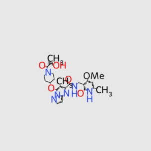 COc1cc(C)[nH]c(=O)c1CNC(=O)c1nc2ccnn2c(OC2CCN(C(=O)[C@@H](C)O)CC2)c1C